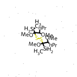 CCCC(OC)C(OC)([SiH2]C)SSC(OC)([SiH2]C)C(CCC)OC